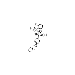 CC1(COc2ccc([C@@H](NC(=O)[C@](C)(N)c3ccccc3F)C(C)(C)O)cc2)CCCC1